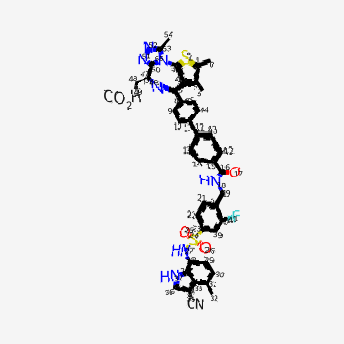 Cc1sc2c(c1C)C(c1ccc(-c3ccc(C(=O)NCc4ccc(S(=O)(=O)Nc5ccc(C)c6c(C#N)c[nH]c56)cc4F)cc3)cc1)=N[C@@H](CC(=O)O)c1nnc(C)n1-2